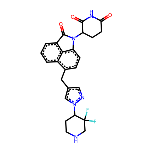 O=C1CCC(N2C(=O)c3cccc4c(Cc5cnn(C6CCNCC6(F)F)c5)ccc2c34)C(=O)N1